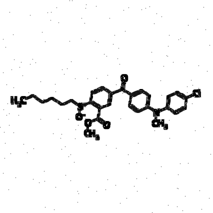 CCCCCC[S+]([O-])c1ccc(C(=O)c2ccc(N(C)c3ccc(Cl)cc3)cc2)cc1C(=O)OC